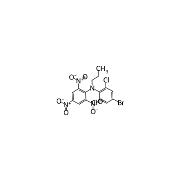 CCCN(c1c(Cl)cc(Br)cc1Cl)c1c([N+](=O)[O-])cc([N+](=O)[O-])cc1[N+](=O)[O-]